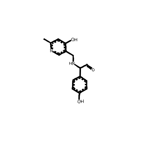 Cc1cc(O)c(CNC([C]=O)c2ccc(O)cc2)cn1